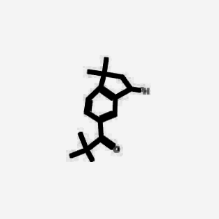 [2H]C1CC(C)(C)c2ccc(C(=O)C(C)(C)C)cc21